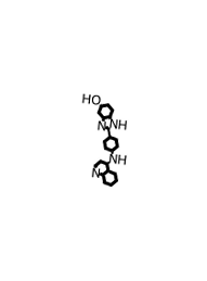 Oc1ccc2[nH]c(-c3ccc(Nc4ccnc5ccccc45)cc3)nc2c1